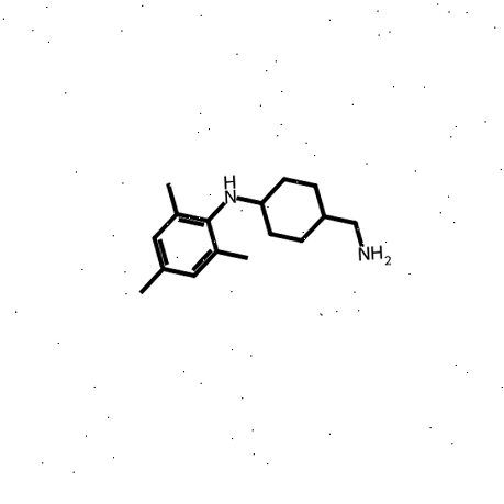 Cc1cc(C)c(NC2CCC(CN)CC2)c(C)c1